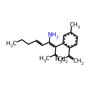 C=C(C)/C(=C(N)\C=C\CCC)c1cc(C)ccc1C(=C)C